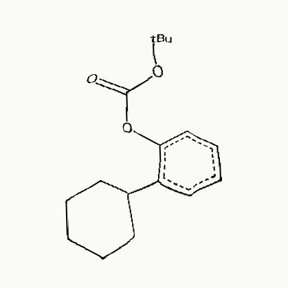 CC(C)(C)OC(=O)Oc1ccccc1C1CCCCC1